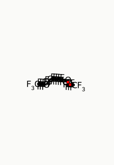 O=S(=O)(OCC(F)(F)C(F)(F)C(F)(F)C(F)(F)C(F)(F)OC(F)(F)C(F)(F)OC(F)(F)C(F)(F)C(F)(F)C(F)(F)F)C(F)(F)C(F)(F)C(F)(F)C(F)(F)F